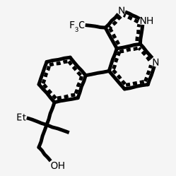 CCC(C)(CO)c1cccc(-c2ccnc3[nH]nc(C(F)(F)F)c23)c1